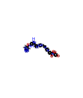 CC1=C(C(=O)Nc2ccc3[nH]nc(-c4ccnc(N5CCN(CC6CN(C7CCN(c8ccc9c(c8)C(=O)N(C8CCC(=O)CC8=O)C9=O)CC7)C6)CC5)c4)c3c2)[C@@H](C)n2nnnc2N1C